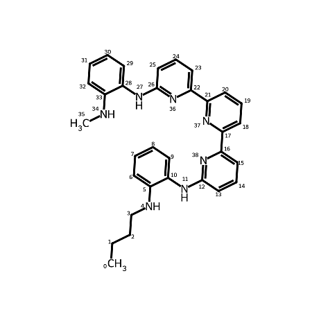 CCCCNc1ccccc1Nc1cccc(-c2cccc(-c3cccc(Nc4ccccc4NC)n3)n2)n1